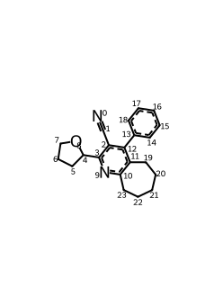 N#Cc1c(C2CCCO2)nc2c(c1-c1ccccc1)CCCCC2